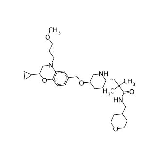 COCCCN1CC(C2CC2)Oc2ccc(CO[C@@H]3CC[C@@H](CC(C)(C)C(=O)NCC4CCOCC4)NC3)cc21